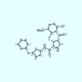 COc1ccc(Cl)c(C(=O)c2c[nH]c(C(=O)Nc3cnn(Cc4cccnc4)c3)c2)c1F